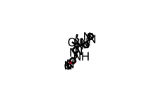 C=CCn1c(=O)c2cnc(Nc3ccc(N4C5CC4CN(C)C5)cc3)nc2n1-c1cccc(-c2ncccn2)n1